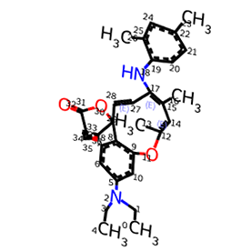 CCN(CC)c1ccc2c(c1)O/C(C)=C/C(C)=C(Nc1ccc(C)cc1C)\C=C\C21OC(=O)c2ccccc21